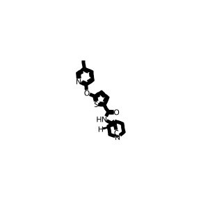 Cc1ccc(Oc2ccc(C(=O)N[C@H]3CN4CCC3CC4)s2)nc1